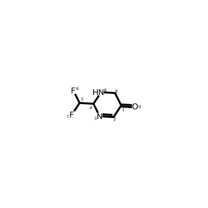 O=C1C=NC(C(F)F)NC1